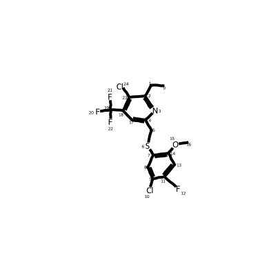 CCc1nc(CSc2cc(Cl)c(F)cc2OC)cc(C(F)(F)F)c1Cl